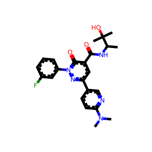 CC(NC(=O)c1cc(-c2ccc(N(C)C)nc2)nn(-c2cccc(F)c2)c1=O)C(C)(C)O